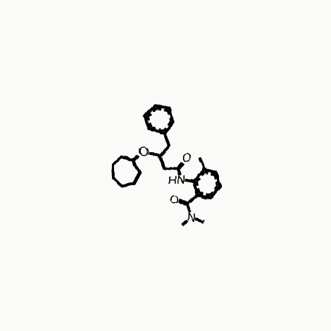 Cc1cccc(C(=O)N(C)C)c1NC(=O)CC(Cc1ccccc1)OC1CCCCCC1